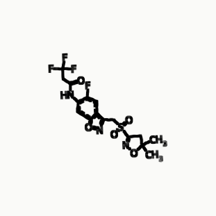 CC1(C)CC(S(=O)(=O)Cc2noc3cc(NC(=O)CC(F)(F)F)c(F)cc23)=NO1